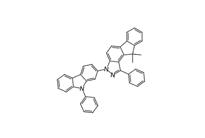 CC1(C)c2ccccc2-c2ccc3c(c(-c4ccccc4)nn3-c3ccc4c5ccccc5n(-c5ccccc5)c4c3)c21